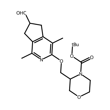 Cc1nc(OCC2COCCN2C(=O)OC(C)(C)C)c(C)c2c1CC(C=O)C2